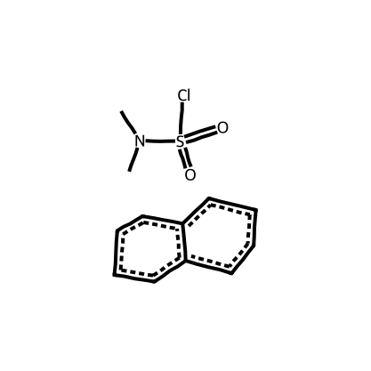 CN(C)S(=O)(=O)Cl.c1ccc2ccccc2c1